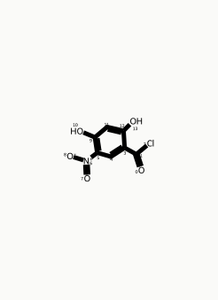 O=C(Cl)c1cc([N+](=O)[O-])c(O)cc1O